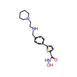 O=C(NO)c1ccc(-c2ccc(CNCCN3CCCCC3)cc2)s1